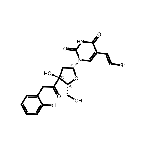 O=C(Cc1ccccc1Cl)[C@]1(O)C[C@H](n2cc(C=CBr)c(=O)[nH]c2=O)O[C@@H]1CO